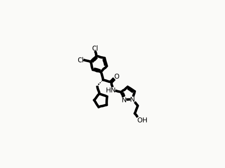 O=C(Nc1ccn(CCO)n1)[C@H](CC1CCCC1)c1ccc(Cl)c(Cl)c1